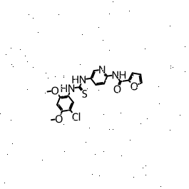 COc1cc(OC)c(NC(=S)Nc2ccc(NC(=O)c3ccco3)nc2)cc1Cl